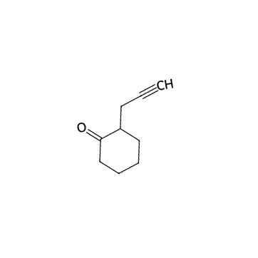 C#CCC1CCCCC1=O